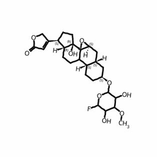 COC1C(O)C(F)OC(O[C@H]2CC[C@@H]3C4CC[C@@H]5[C@@H](C6=CC(=O)OC6)CC[C@]5(O)[C@@]45O[C@H]5C[C@@H]3C2)C1O